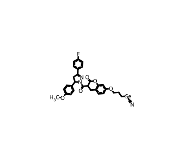 COc1ccc(C2CC(c3ccc(F)cc3)=NN2C(=O)C2Cc3ccc(OCCC[Se]C#N)cc3OC2=O)cc1